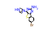 Nc1nc(N2CC3CC2CN3)c2sc3cc(Br)ccc3c2n1